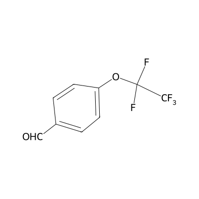 O=Cc1ccc(OC(F)(F)C(F)(F)F)cc1